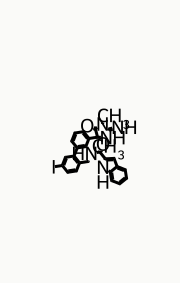 CN1C(=N)NC(C)(c2cccc(-c3cc(I)ccc3CNC(=O)c3cc4ccccc4[nH]3)c2)C1=O